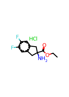 CCOC(=O)C1(N)Cc2cc(F)c(F)cc2C1.Cl